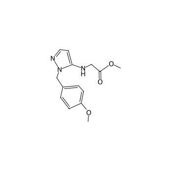 COC(=O)CNc1ccnn1Cc1ccc(OC)cc1